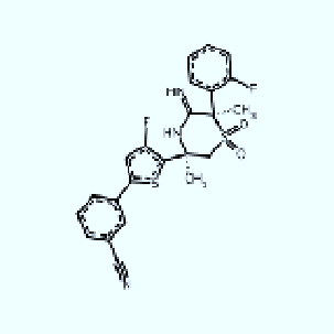 C[C@@]1(c2ccccc2F)C(=N)N[C@](C)(c2sc(-c3cccc(C#N)c3)cc2F)CS1(=O)=O